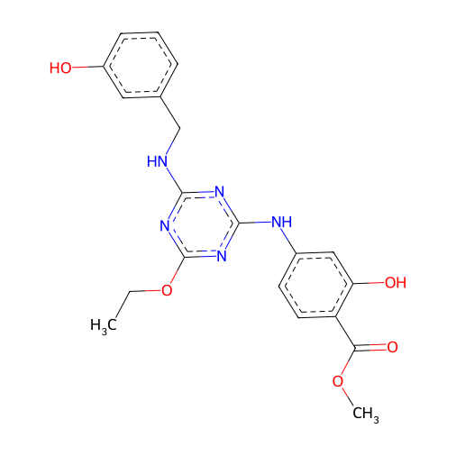 CCOc1nc(NCc2cccc(O)c2)nc(Nc2ccc(C(=O)OC)c(O)c2)n1